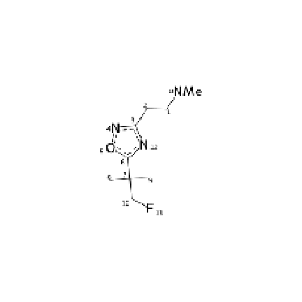 CNCCc1noc(C(C)(C)CF)n1